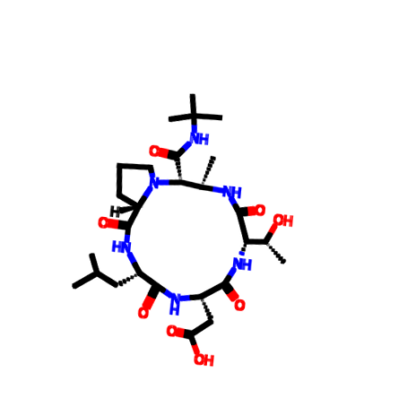 CC(C)C[C@@H]1NC(=O)[C@@H]2CCCN2[C@H](C(=O)NC(C)(C)C)[C@H](C)NC(=O)[C@H]([C@@H](C)O)NC(=O)[C@H](CC(=O)O)NC1=O